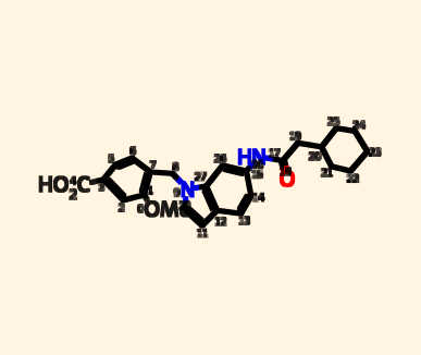 COc1cc(C(=O)O)ccc1Cn1ccc2ccc(NC(=O)CC3CCCCC3)cc21